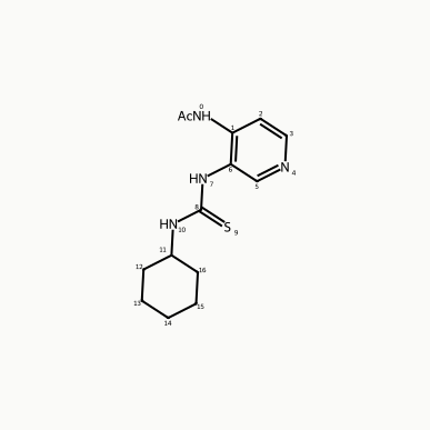 CC(=O)Nc1ccncc1NC(=S)NC1CCCCC1